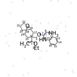 C=C(OCC)C1(CO/C(=C/N)Nc2ccccc2)CCC2(CCCO2)CC1